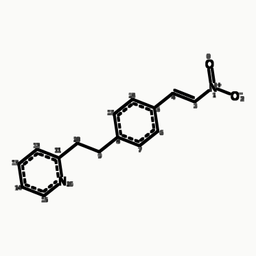 O=[N+]([O-])C=Cc1ccc(CCc2ccccn2)cc1